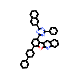 c1ccc(-c2ccc(-c3ccc(-c4nc(-c5ccccc5)nc(-c5ccc6ccccc6c5)n4)c4c3oc3nc5ccccc5cc34)cc2)cc1